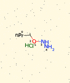 CCCCONN.Cl